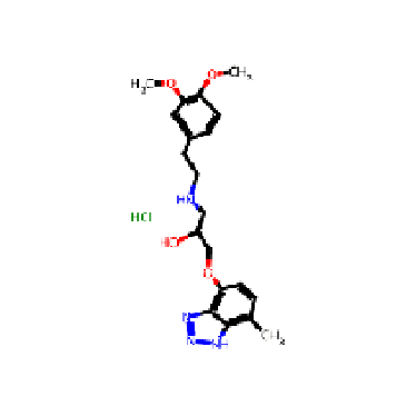 COc1ccc(CCNCC(O)COc2ccc(C)c3[nH]nnc23)cc1OC.Cl